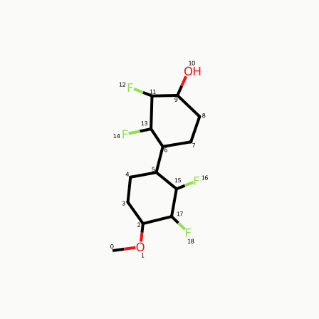 COC1CCC(C2CCC(O)C(F)C2F)C(F)C1F